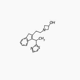 CC(C1=C(CCN2CC(O)C2)Cc2ccccc21)c1nccs1